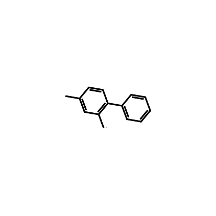 [CH2]c1cc(C)ccc1-c1ccccc1